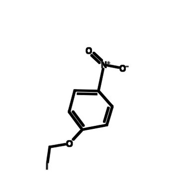 O=[N+]([O-])c1ccc(OCI)cc1